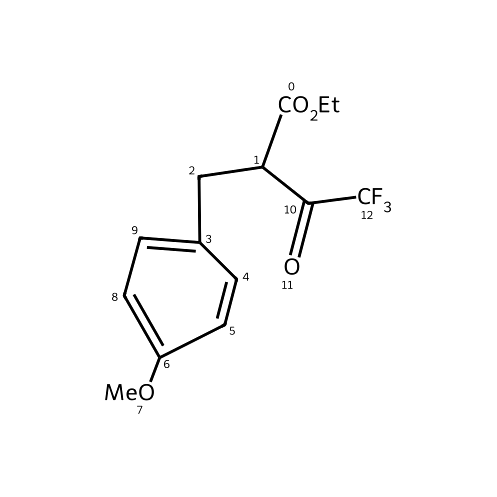 CCOC(=O)C(Cc1ccc(OC)cc1)C(=O)C(F)(F)F